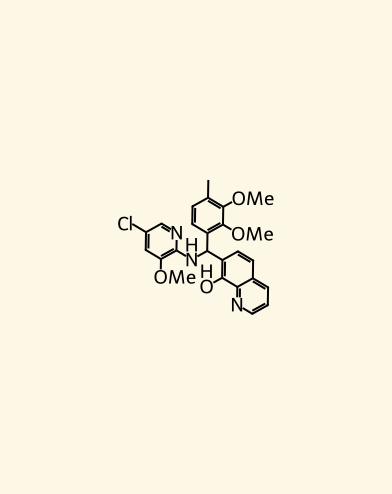 COc1cc(Cl)cnc1NC(c1ccc(C)c(OC)c1OC)c1ccc2cccnc2c1O